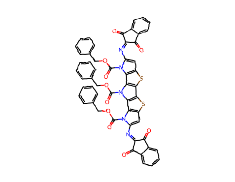 O=C(OCc1ccccc1)n1c(N=c2c(=O)c3ccccc3c2=O)cc2sc3c4sc5cc(N=c6c(=O)c7ccccc7c6=O)n(C(=O)OCc6ccccc6)c5c4n(C(=O)OCc4ccccc4)c3c21